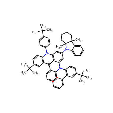 CC(C)(C)c1ccc(N2c3ccc(C(C)(C)C)cc3B3c4ccccc4N(c4ccc(C(C)(C)C)cc4-c4ccccc4)c4cc(N5c6ccccc6C6(C)CCCCC56C)cc2c43)cc1